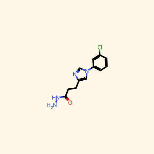 NNC(=O)CCc1cn(-c2cccc(Cl)c2)cn1